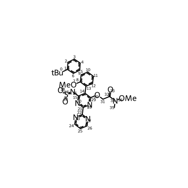 CC(C)(C)c1ccccc1.COc1ccccc1-c1c(N=S(=O)=O)nc(-c2ncccn2)nc1OCC(=O)N(C)OC